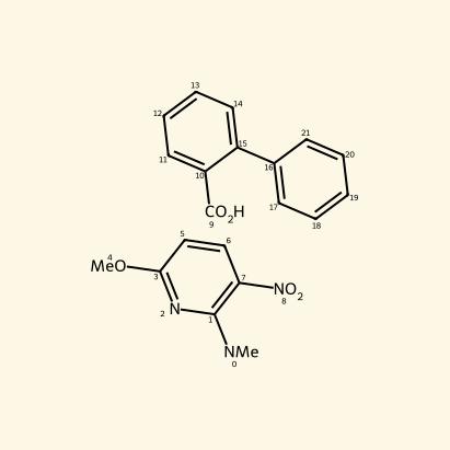 CNc1nc(OC)ccc1[N+](=O)[O-].O=C(O)c1ccccc1-c1ccccc1